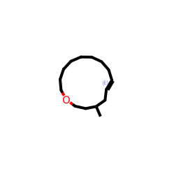 CC1C/C=C/CCCCCCCCOCC1